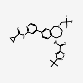 CC(C)(C)c1noc(C(=O)N[C@@H]2CCN(CC(F)(F)F)Cc3cc(-c4ccnc(NC(=O)C5CC5)c4)ccc32)n1